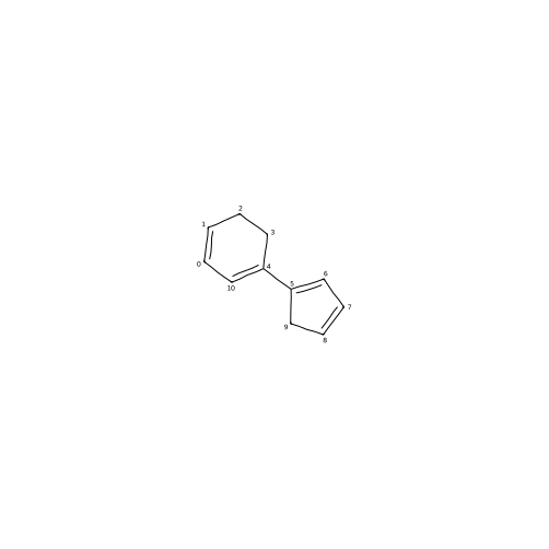 C1=CCCC(C2=CC=CC2)=C1